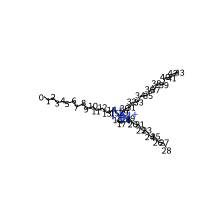 CCCCCCCCCCCCCCCn1cc[n+](CCCCCCCCCC)c1CCCCCCCCCCCCCC